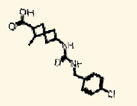 CC1C(C(=O)O)CC12CC(NC(=O)NCc1ccc(Cl)cc1)C2